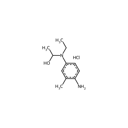 CCN(c1ccc(N)c(C)c1)C(C)O.Cl